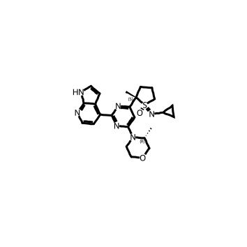 C[C@@H]1COCCN1c1cc([C@]2(C)CCCS2(=O)=NC2CC2)nc(-c2ccnc3[nH]ccc23)n1